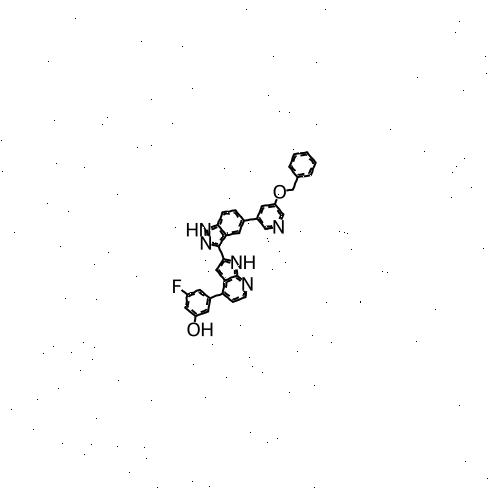 Oc1cc(F)cc(-c2ccnc3[nH]c(-c4n[nH]c5ccc(-c6cncc(OCc7ccccc7)c6)cc45)cc23)c1